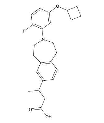 CC(CC(=O)O)c1ccc2c(c1)CCN(c1cc(OC3CCC3)ccc1F)CC2